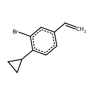 C=[C]c1ccc(C2CC2)c(Br)c1